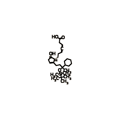 CC(CCC1=CC[C@H](O)[C@@H]1CCC=C=CCC(=O)O)(O[Si](C)(C)C(C)(C)C)C1CCCCC1